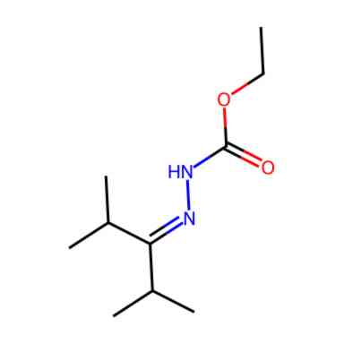 CCOC(=O)NN=C(C(C)C)C(C)C